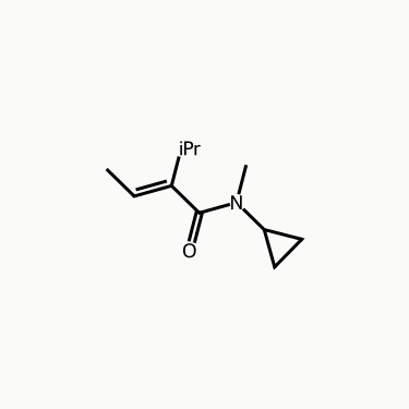 C/C=C(/C(=O)N(C)C1CC1)C(C)C